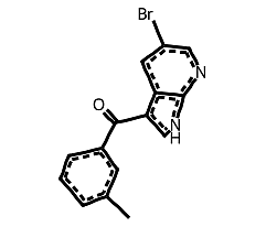 Cc1cccc(C(=O)c2c[nH]c3ncc(Br)cc23)c1